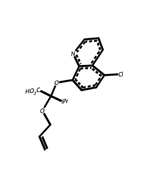 C=CCOC(Oc1ccc(Cl)c2cccnc12)(C(=O)O)C(C)C